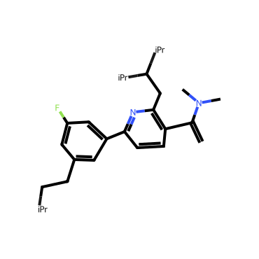 C=C(c1ccc(-c2cc(F)cc(CCC(C)C)c2)nc1CC(C(C)C)C(C)C)N(C)C